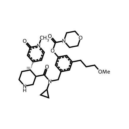 COCCCc1cc(CN(C(=O)C2CNCC[C@@H]2c2ccn(C)c(=O)c2)C2CC2)cc(OC(=O)N2CCOCC2)c1